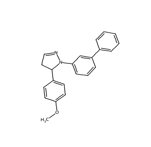 COc1ccc(C2CC=NN2c2cccc(-c3ccccc3)c2)cc1